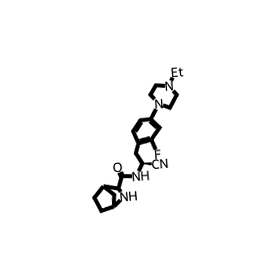 CCN1CCN(c2ccc(C[C@@H](C#N)NC(=O)C3NC4CCC3C4)c(F)c2)CC1